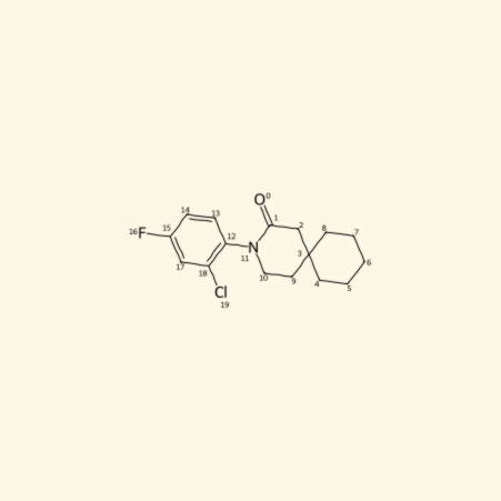 O=C1CC2(CCCCC2)CCN1c1ccc(F)cc1Cl